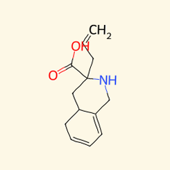 C=CCC1(C(=O)O)CC2CC=CC=C2CN1